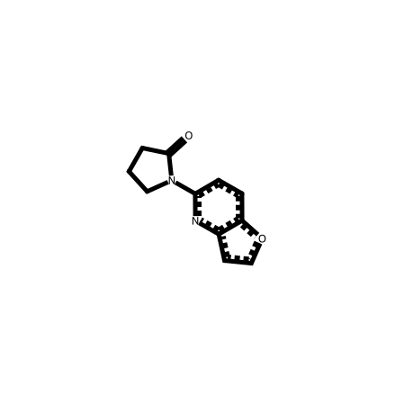 O=C1CCCN1c1ccc2occc2n1